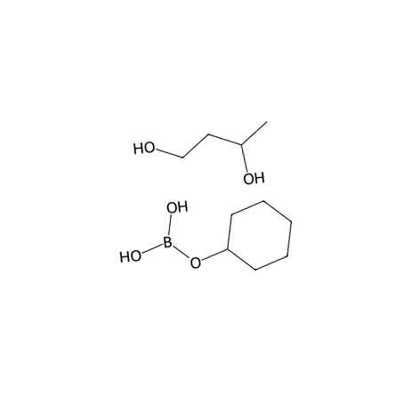 CC(O)CCO.OB(O)OC1CCCCC1